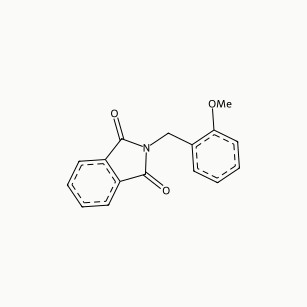 COc1ccccc1CN1C(=O)c2ccccc2C1=O